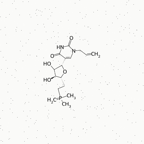 C=CCn1cc([C@@H]2O[C@H](CCP(=C)(C)C)[C@@H](O)C2O)c(=O)[nH]c1=O